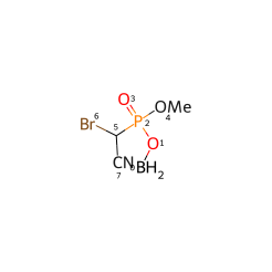 BOP(=O)(OC)C(Br)C#N